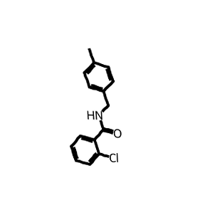 Cc1ccc(CNC(=O)c2ccccc2Cl)cc1